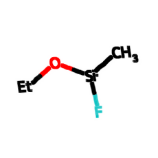 CCO[Si](C)F